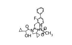 CS(=O)(=O)N[C@@H]1[C@H](Cc2cccc(-c3ccccc3)c2F)N(C(=O)C(O)C2CC2)CC12CC2